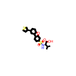 CC(C)[C@H](NS(=O)(=O)c1ccc2c(c1)oc1ccc(-c3ccsc3)cc12)C(=O)O